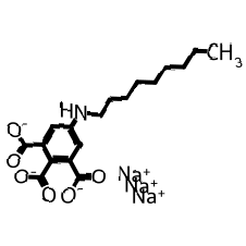 CCCCCCCCCNc1cc(C(=O)[O-])c(C(=O)[O-])c(C(=O)[O-])c1.[Na+].[Na+].[Na+]